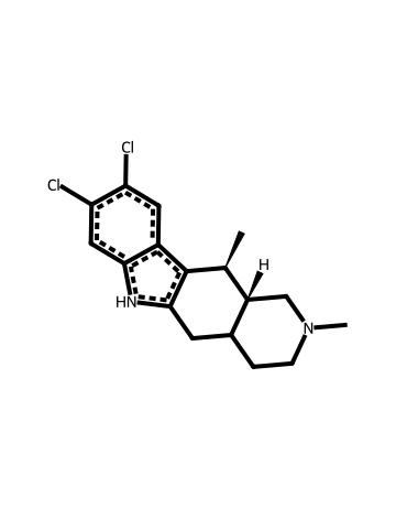 C[C@@H]1c2c([nH]c3cc(Cl)c(Cl)cc23)CC2CCN(C)C[C@H]21